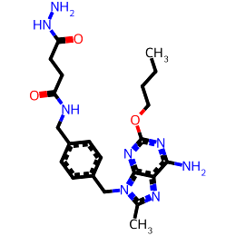 CCCCOc1nc(N)c2nc(C)n(Cc3ccc(CNC(=O)CCC(=O)NN)cc3)c2n1